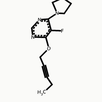 CCC#CCOc1ncnc(N2CCCC2)c1F